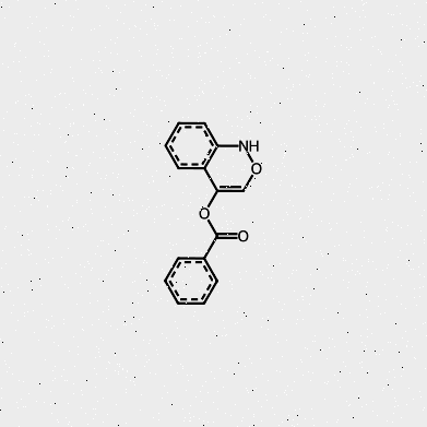 O=C(OC1=CONc2ccccc21)c1ccccc1